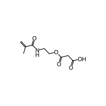 C=C(C)C(=O)NCCOC(=O)CC(=O)O